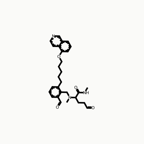 CNC(=O)C(CCC=O)N(C)Cc1c(C=O)cccc1CCCCCOc1cccc2cnccc12